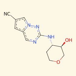 N#Cc1cc2cnc(N[C@H]3CCOC[C@@H]3O)nn2c1